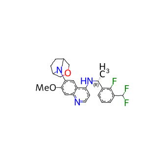 COc1cc2nccc(N[C@H](C)c3cccc(C(F)F)c3F)c2cc1N1CC2CCC1COC2